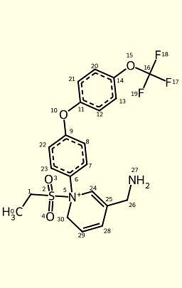 CCS(=O)(=O)[N+]1(c2ccc(Oc3ccc(OC(F)(F)F)cc3)cc2)C=C(CN)C=CC1